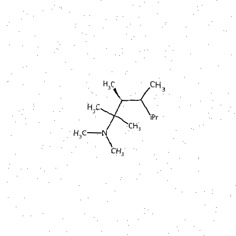 CC(C)C(C)[C@H](C)C(C)(C)N(C)C